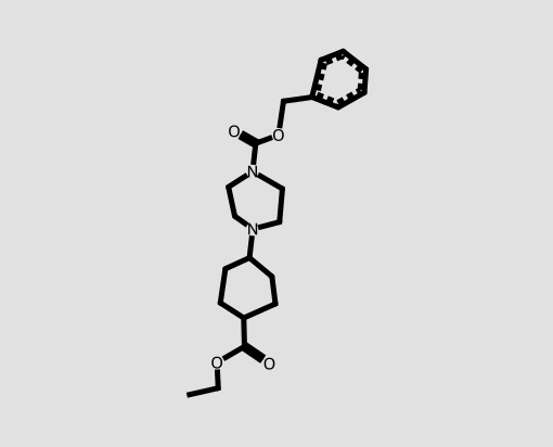 CCOC(=O)C1CCC(N2CCN(C(=O)OCc3ccccc3)CC2)CC1